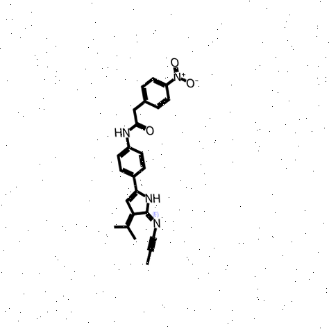 CC#C/N=C1/NC(c2ccc(NC(=O)Cc3ccc([N+](=O)[O-])cc3)cc2)=CC1=C(C)C